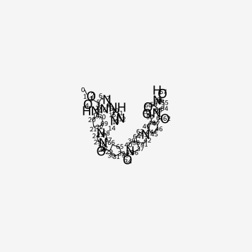 CCOC(=O)c1cnc(Nc2cnn(C)c2)nc1NC1CCC(N2CCN(C(=O)C3CCC(C(=O)N4CCC5(CC4)CCN(c4ccc6c(c4)C(=O)N(C4CCC(=O)NC4=O)C6=O)CC5)CC3)CC2)CC1